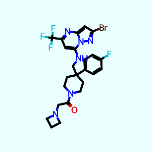 O=C(CN1CCC1)N1CCC(CNc2cc(C(F)(F)F)nc3cc(Br)nn23)(c2ccc(F)cc2)CC1